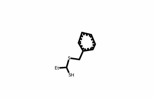 CCC(S)SCc1ccccc1